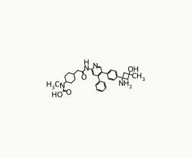 CN(C(=O)O)C1CCC(CC(=O)Nc2cc(-c3ccccc3)c(-c3ccc([C@]4(N)C[C@](C)(O)C4)cc3)cn2)CC1